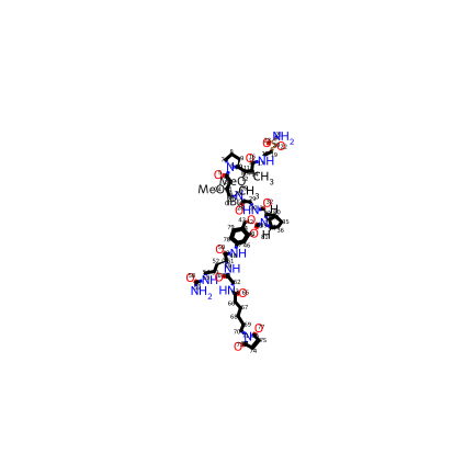 CC[C@H](C)[C@@H]([C@@H](CC(=O)N1CCC[C@H]1[C@H](OC)[C@@H](C)C(=O)NCCS(N)(=O)=O)OC)N(C)C(=O)CNC(=O)[C@@H]1[C@H]2CC[C@H](C2)N1C(=O)OCc1ccc(NC(=O)[C@H](CCCNC(N)=O)NC(=O)CNC(=O)CCCCCN2C(=O)C=CC2=O)cc1